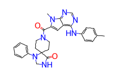 Cc1ccc(Nc2ncnc3c2cc(C(=O)N2CCC4(CC2)C(=O)NCN4c2ccccc2)n3C)cc1